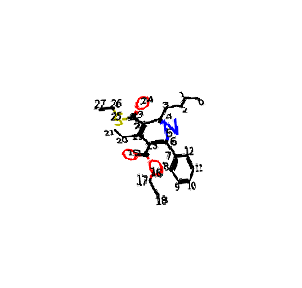 CCCCc1nc(-c2ccccc2)c(C(=O)OCC)c(CC)c1C(=O)SCC